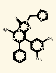 Cc1cc(-c2c(-c3ccccc3)nc(N)n3c(=O)n(Cc4cocn4)nc23)cc(C)n1